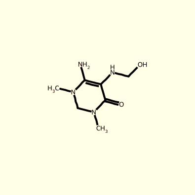 CN1CN(C)C(N)=C(NCO)C1=O